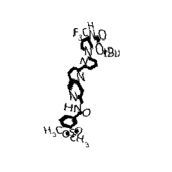 Cc1ccc(C(=O)NCc2cc3nc(-c4cccc(N5CCC(NC(=O)OC(C)(C)C)(C(F)(F)F)C5)n4)ccc3cn2)cc1S(C)(=O)=O